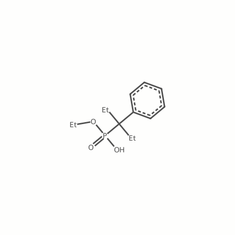 CCOP(=O)(O)C(CC)(CC)c1ccccc1